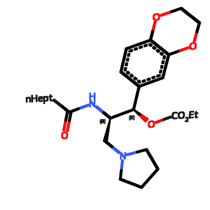 CCCCCCCC(=O)N[C@H](CN1CCCC1)[C@H](OC(=O)OCC)c1ccc2c(c1)OCCO2